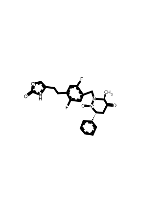 C[C@H]1C(=O)C[C@H](c2ccccc2)[S+]([O-])N1Cc1cc(F)c(CCc2coc(=O)[nH]2)cc1F